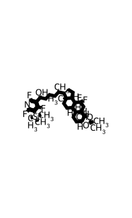 C[C@H](CCCC(O)c1c(F)nc(F)c([Si](C)(C)C)c1F)[C@H]1CC[C@H]2[C@H]3[C@H](CC[C@]12C)[C@@]1(C)CC[C@@H]2OC(C)(C)O[C@@H]2[C@@H]1CC3(F)F